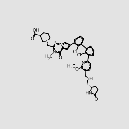 COc1nc(-c2cccc(-c3cccc(-c4cc5c(=O)n(C)c(CN6CCC[C@H](C(=O)O)C6)nn5c4)c3Cl)c2Cl)ccc1CNC[C@@H]1CCC(=O)N1